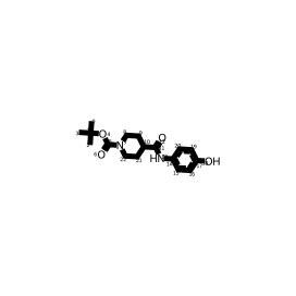 CC(C)(C)OC(=O)N1CCC(C(=O)Nc2ccc(O)cc2)CC1